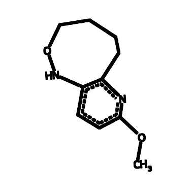 COc1ccc2c(n1)CCCCON2